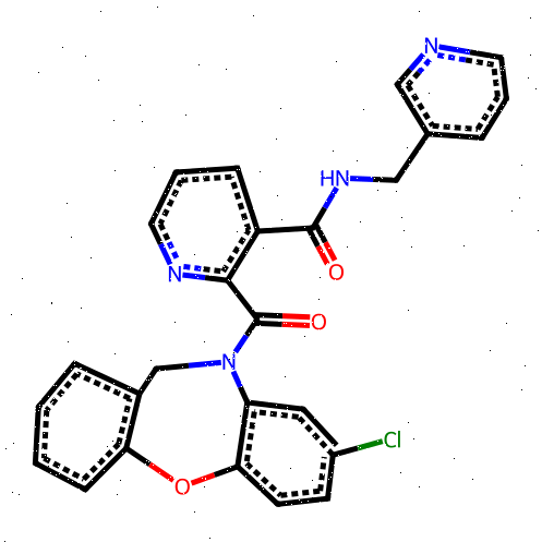 O=C(NCc1cccnc1)c1cccnc1C(=O)N1Cc2ccccc2Oc2ccc(Cl)cc21